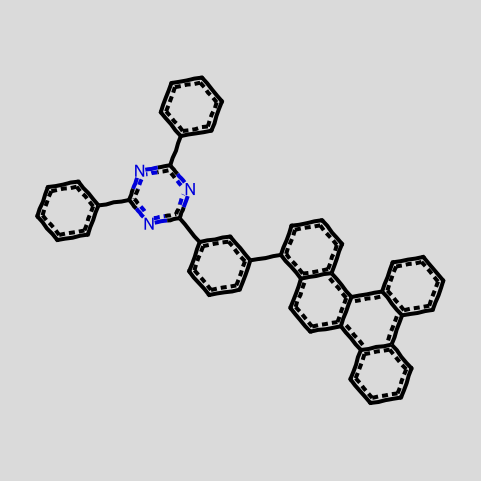 c1ccc(-c2nc(-c3ccccc3)nc(-c3cccc(-c4cccc5c4ccc4c6ccccc6c6ccccc6c54)c3)n2)cc1